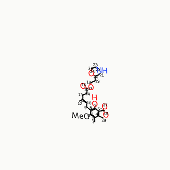 COc1c(C)c2c(c(O)c1C/C=C(\C)CCC(=O)OCCC1CNCCO1)C(=O)OC2